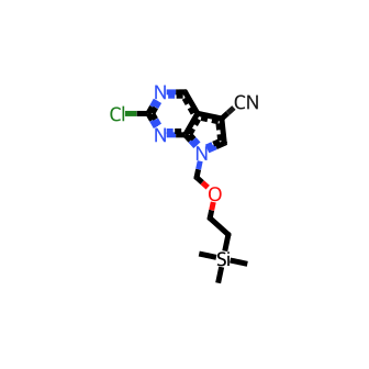 C[Si](C)(C)CCOCn1cc(C#N)c2cnc(Cl)nc21